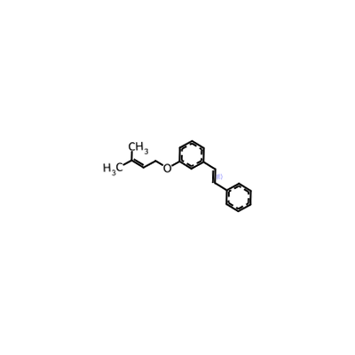 CC(C)=CCOc1cccc(/C=C/c2ccccc2)c1